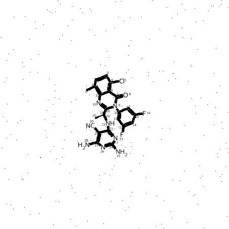 Cc1ccc(Cl)c2c(=O)n(-c3cc(F)cc(F)c3)c([C@H](C)Nc3nc(N)nc(N)c3C#N)nc12